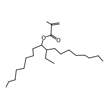 C=C(C)C(=O)OC(CCCCCCCC)C(CC)CCCCCCCC